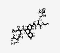 CCOC(=O)C(CSSN[C@H](C=O)CS)NC(=O)c1cc(-c2ccccc2)c(C(=O)NC(CSN[C@@H](CS)C(=O)S)C(=O)OCC)cn1